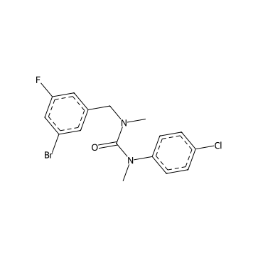 CN(Cc1cc(F)cc(Br)c1)C(=O)N(C)c1ccc(Cl)cc1